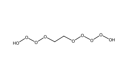 OOOOCCOOOOO